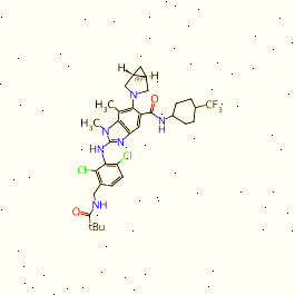 Cc1c(N2C[C@@H]3C[C@H]3C2)c(C(=O)NC2CCC(C(F)(F)F)CC2)cc2nc(Nc3c(Cl)ccc(CNC(=O)C(C)(C)C)c3Cl)n(C)c12